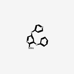 CNc1ncc(Sc2ccncc2)cc1Oc1ccccc1